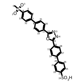 CS(=O)(=O)c1ccc(-c2ccc(-c3nnc(-c4ccc(-c5ccc(S(=O)(=O)O)cc5)cc4)o3)cc2)cc1